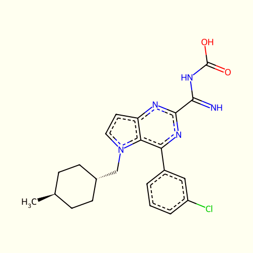 C[C@H]1CC[C@H](Cn2ccc3nc(C(=N)NC(=O)O)nc(-c4cccc(Cl)c4)c32)CC1